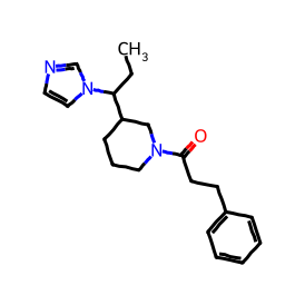 CCC(C1CCCN(C(=O)CCc2ccccc2)C1)n1ccnc1